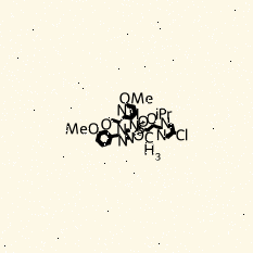 COc1cccc([C@@H]2COc3c(OC)cccc3-c3nnc(NS(=O)(=O)C(C)C(OC(C)C)c4ncc(Cl)cn4)n32)n1